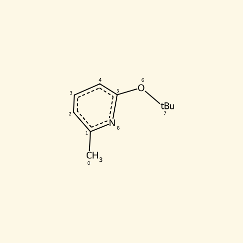 Cc1cccc(OC(C)(C)C)n1